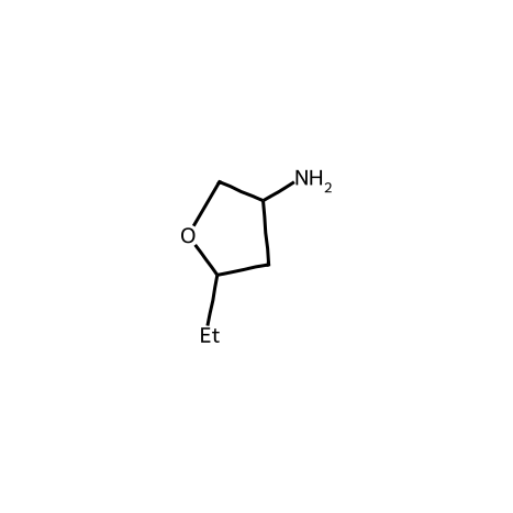 CCC1CC(N)CO1